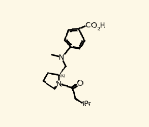 CC(C)CC(=O)N1CCC[C@H]1CN(C)c1ccc(C(=O)O)cc1